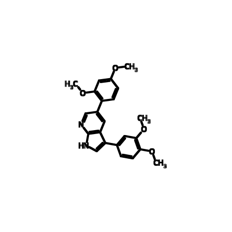 COc1ccc(-c2cnc3[nH]cc(-c4ccc(OC)c(OC)c4)c3c2)c(OC)c1